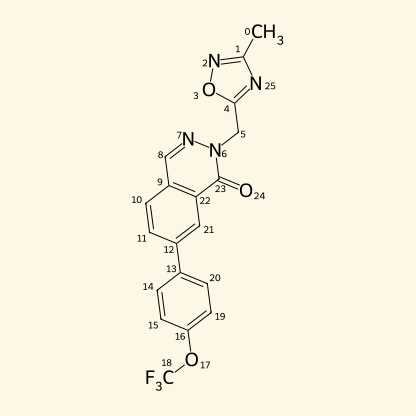 Cc1noc(Cn2ncc3ccc(-c4ccc(OC(F)(F)F)cc4)cc3c2=O)n1